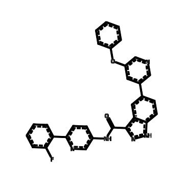 O=C(Nc1ccc(-c2ccccc2F)nc1)c1n[nH]c2ccc(-c3cncc(Oc4ccccc4)c3)cc12